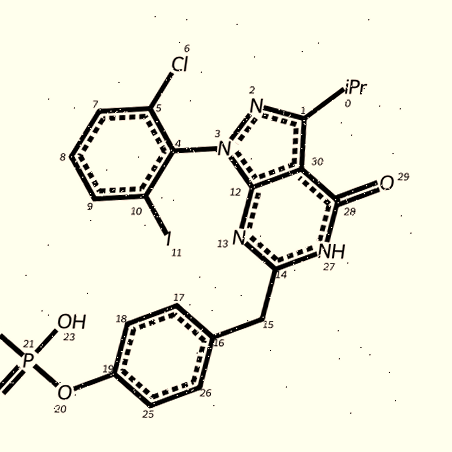 CC(C)c1nn(-c2c(Cl)cccc2I)c2nc(Cc3ccc(OP(=O)(O)O)cc3)[nH]c(=O)c12